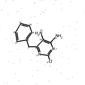 Nc1nc(Cl)nc(Cc2ccccc2)c1N